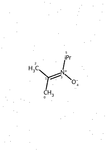 CC(C)=[N+]([O-])C(C)C